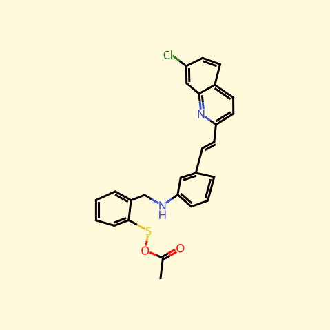 CC(=O)OSc1ccccc1CNc1cccc(C=Cc2ccc3ccc(Cl)cc3n2)c1